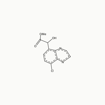 COC(=O)C(O)c1ccc(Cl)c2nccnc12